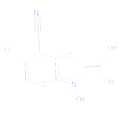 Cn1c(C(O)O)cc2c(C#N)c(Cl)ccc21